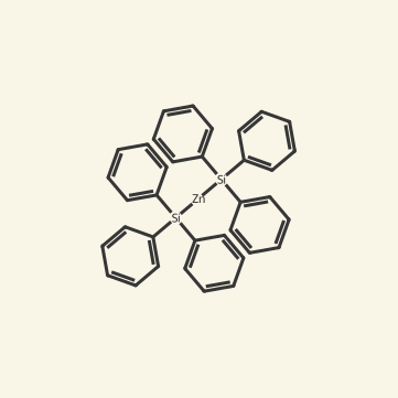 c1ccc([Si]([Zn][Si](c2ccccc2)(c2ccccc2)c2ccccc2)(c2ccccc2)c2ccccc2)cc1